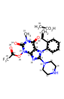 C=Cc1ccccc1-n1c(N2CCNCC2)nc2c1c(=O)n(C)c(=O)n2OC(=O)C(F)(F)F.CC(=O)O